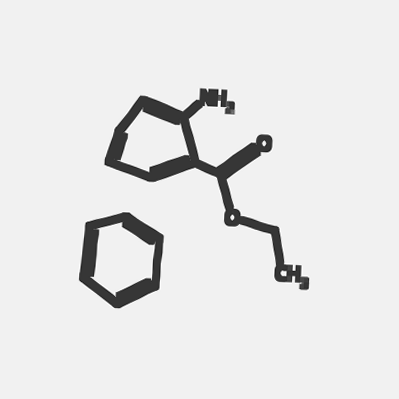 CCOC(=O)c1ccccc1N.c1ccccc1